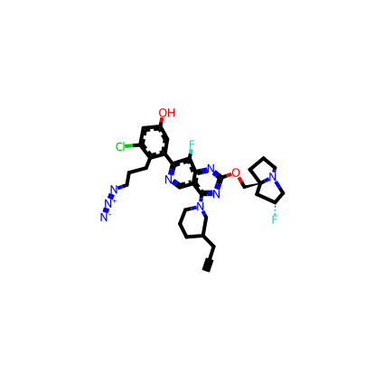 C#CCC1CCCN(c2nc(OC[C@@]34CCCN3C[C@H](F)C4)nc3c(F)c(-c4cc(O)cc(Cl)c4CCCN=[N+]=[N-])ncc23)C1